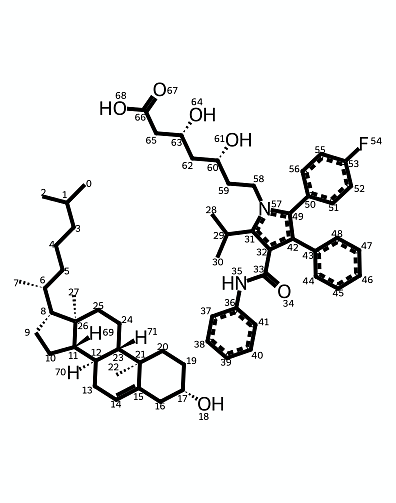 CC(C)CCC[C@@H](C)[C@H]1CC[C@H]2[C@@H]3CC=C4C[C@@H](O)CC[C@]4(C)[C@H]3CC[C@]12C.CC(C)c1c(C(=O)Nc2ccccc2)c(-c2ccccc2)c(-c2ccc(F)cc2)n1CC[C@@H](O)C[C@@H](O)CC(=O)O